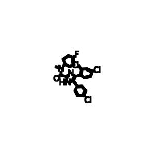 CN(C(=O)c1nc(-c2ccc(Cl)cc2Cl)c(-c2ccc(Cl)cc2)[nH]1)C1CC=C(F)CC1